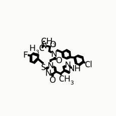 CC(c1cn[nH]c1)c1cn(CC(=O)N(CC(=O)N(C)C)Cc2ccc(-c3ccc(Cl)cc3)cc2)c(SCc2ccc(F)cc2)nc1=O